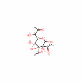 CC(=O)C(O)[C@H]1OC(O)[C@@](O)(C(C)=O)[C@](O)(C(C)=O)[C@@H]1O